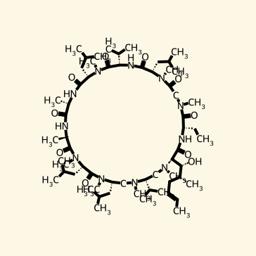 C/C=C/C[C@@H](C)[C@@H](O)[C@H]1C(=O)N[C@@H](CC)C(=O)N(C)CC(=O)N(C)[C@@H](CC(C)C)C(=O)N[C@@H](C(C)C)C(=O)N(C)[C@@H](CC(C)C)C(=O)N[C@@H](C)C(=O)N[C@H](C)C(=O)N(C)[C@@H](CC(C)C)C(=O)N(C)[C@@H](CC(C)C)CN(C)[C@@H](C(C)C)CN1C